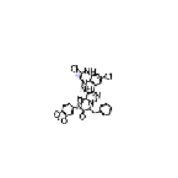 N/C(Cl)=C\N(N)c1ccc(Cl)cc1-c1cc(=O)n(C(Cc2ccccc2)C(=O)Nc2ccc3c(c2)OCO3)cn1